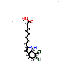 O=C(O)CCCCCCCc1cc2ccc(Cl)c(Cl)c2[nH]1